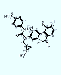 C[C@H]1C[C@@H]1C[C@@H](C(=O)Nc1ccc(C(=O)O)cc1)c1ccc(-c2c(C(F)F)ccc(Cl)c2F)c[n+]1O